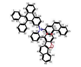 c1ccc(-c2c(-c3ccccc3)c3cc(N(c4ccc5c(ccc6ccccc65)c4)c4ccccc4-c4cccc5oc6c7ccccc7ccc6c45)ccc3c3ccccc23)cc1